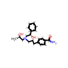 C[C@@H](O)CN(CCCc1ccc(C(N)=O)cc1)C[C@@H](O)c1ccccc1